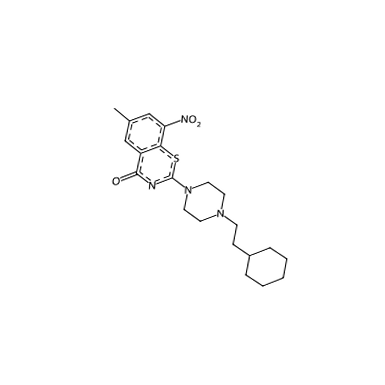 Cc1cc([N+](=O)[O-])c2sc(N3CCN(CCC4CCCCC4)CC3)nc(=O)c2c1